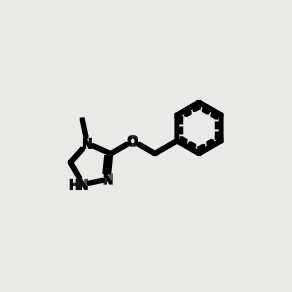 CN1CNN=C1OCc1ccccc1